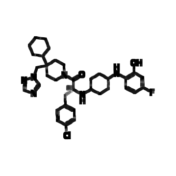 O=C([C@@H](Cc1ccc(Cl)cc1)NC1CCC(Nc2ccc(F)cc2O)CC1)N1CCC(Cn2cncn2)(C2CCCCC2)CC1